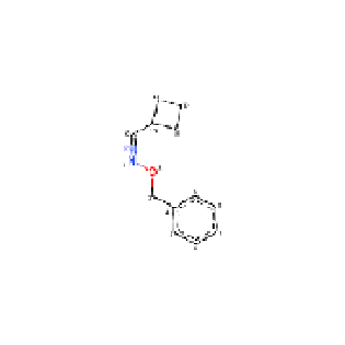 [C](=N/OCc1ccccc1)/C1CCC1